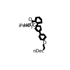 CCCCCCCCCCCCOc1ccc(C2=CCC(C(=O)O)(c3ccccc3C(=O)OC(C)CCC)C=C2)cc1